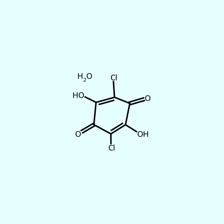 O.O=C1C(O)=C(Cl)C(=O)C(O)=C1Cl